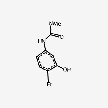 CCc1ccc(NC(=O)NC)cc1O